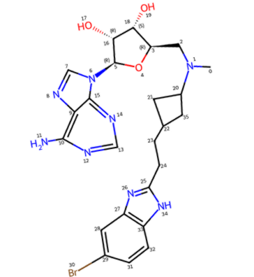 CN(C[C@H]1O[C@@H](n2cnc3c(N)ncnc32)[C@H](O)[C@@H]1O)C1CC(CCc2nc3cc(Br)ccc3[nH]2)C1